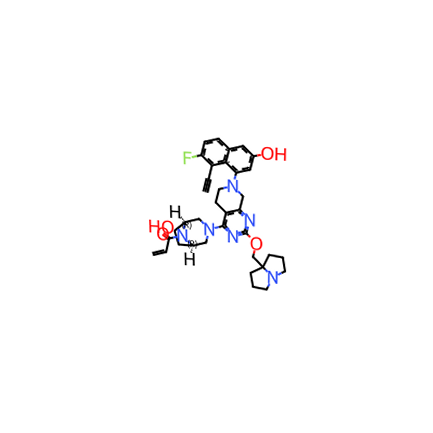 C#Cc1c(F)ccc2cc(O)cc(N3CCc4c(nc(OCC56CCCN5CCC6)nc4N4C[C@H]5CC(O)[C@@H](C4)N5C(=O)C=C)C3)c12